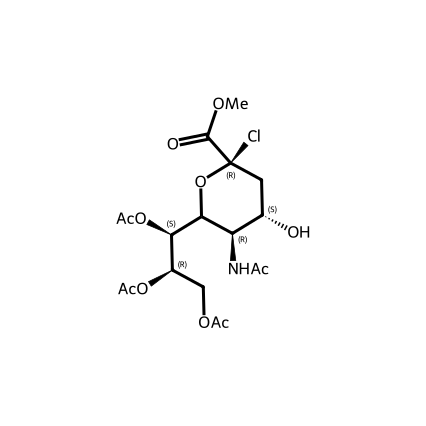 COC(=O)[C@]1(Cl)C[C@H](O)[C@@H](NC(C)=O)C([C@H](OC(C)=O)[C@@H](COC(C)=O)OC(C)=O)O1